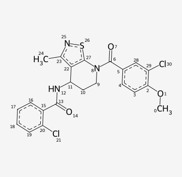 COc1ccc(C(=O)N2CCC(NC(=O)c3ccccc3Cl)c3c(C)nsc32)cc1Cl